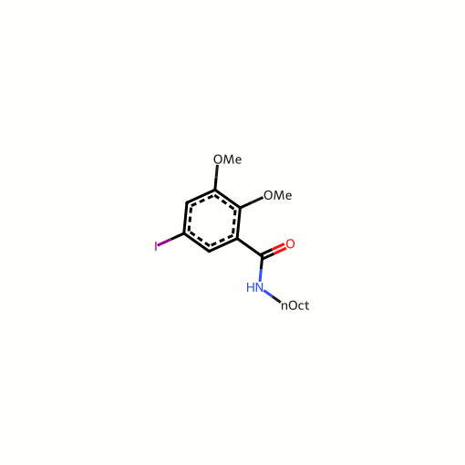 CCCCCCCCNC(=O)c1cc(I)cc(OC)c1OC